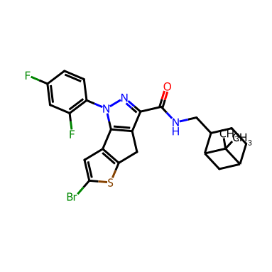 CC1(C)C2CCC(CNC(=O)c3nn(-c4ccc(F)cc4F)c4c3Cc3sc(Br)cc3-4)C1C2